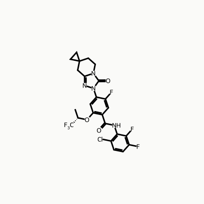 C[C@H](Oc1cc(-n2nc3n(c2=O)CCC2(CC2)C3)c(F)cc1C(=O)Nc1c(Cl)ccc(F)c1F)C(F)(F)F